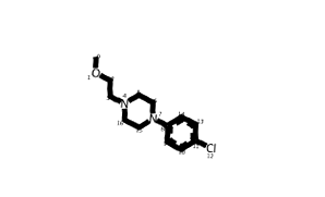 COCCN1CCN(c2ccc(Cl)cc2)CC1